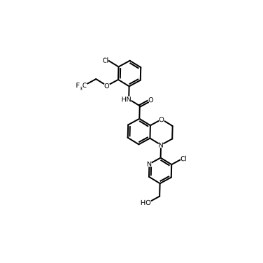 O=C(Nc1cccc(Cl)c1OCC(F)(F)F)c1cccc2c1OCCN2c1ncc(CO)cc1Cl